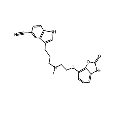 CN(CCCc1c[nH]c2ccc(C#N)cc12)CCOc1cccc2[nH]c(=O)oc12